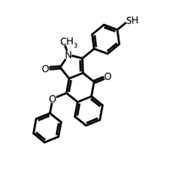 CN1C(=O)C2=C(Oc3ccccc3)c3ccccc3C(=O)C2=C1c1ccc(S)cc1